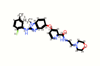 Cn1c(Nc2cc(C(F)(F)F)ccc2F)nc2cc(Oc3ccnc(C(=O)NCCN4CCOCC4)c3)ccc21